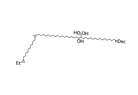 CCCCCCCCCCCCCCCCCCCCCCCCC(C(O)O)C(O)CCCCCCCCCCCCCCCCCC1CC1CCCCCCCCCCC1CC1CC